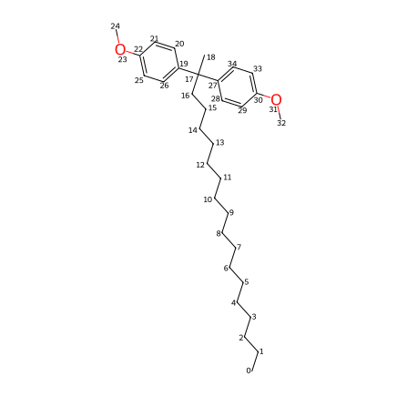 CCCCCCCCCCCCCCCCCC(C)(c1ccc(OC)cc1)c1ccc(OC)cc1